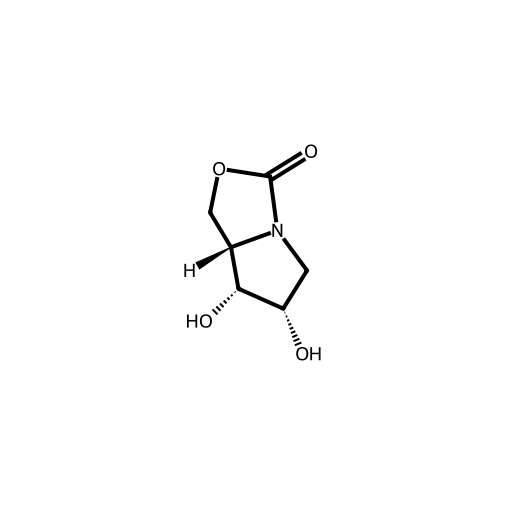 O=C1OC[C@H]2[C@@H](O)[C@@H](O)CN12